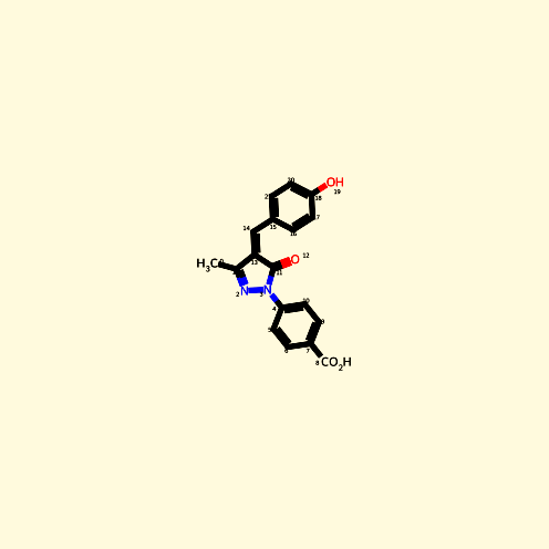 CC1=NN(c2ccc(C(=O)O)cc2)C(=O)/C1=C\c1ccc(O)cc1